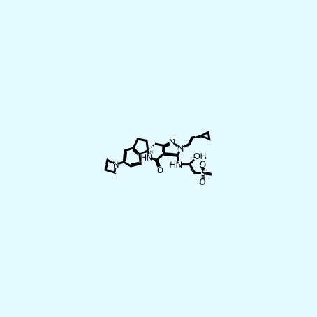 CS(=O)(=O)CC(O)Nc1c2c(nn1CCC1CC1)C[C@]1(CCc3cc(N4CCC4)ccc31)NC2=O